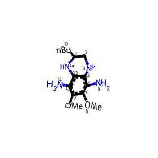 CCCCC1CNc2c(N)c(OC)c(OC)c(N)c2N1